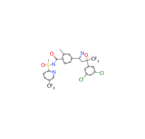 Cc1cc(C2=NOC(c3cc(Cl)cc(Cl)c3)(C(F)(F)F)C2)ccc1C(=O)N=S(C)(=O)c1ccc(C(F)(F)F)cn1